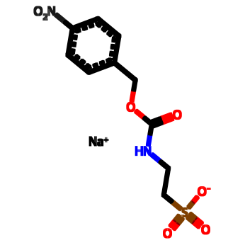 O=C(NCCS(=O)(=O)[O-])OCc1ccc([N+](=O)[O-])cc1.[Na+]